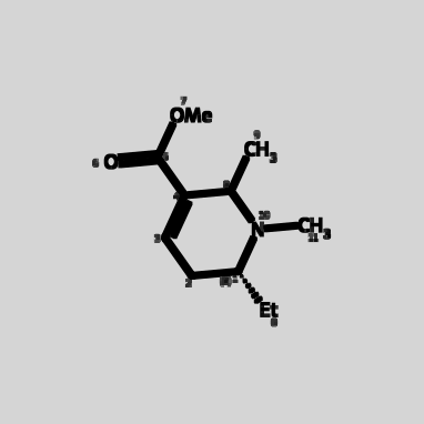 CC[C@@H]1CC=C(C(=O)OC)C(C)N1C